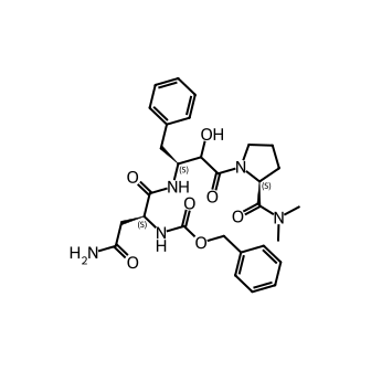 CN(C)C(=O)[C@@H]1CCCN1C(=O)C(O)[C@H](Cc1ccccc1)NC(=O)[C@H](CC(N)=O)NC(=O)OCc1ccccc1